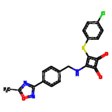 O=c1c(NCc2ccc(-c3noc(C(F)(F)F)n3)cc2)c(Sc2ccc(Cl)cc2)c1=O